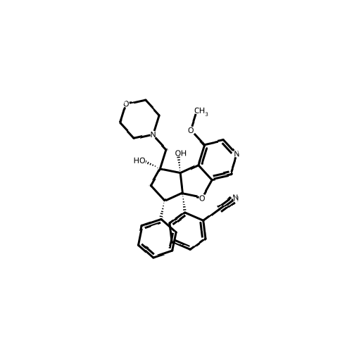 COc1cncc2c1[C@]1(O)[C@](O)(CN3CCOCC3)C[C@@H](c3ccccc3)[C@]1(c1ccccc1C#N)O2